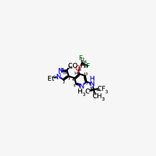 CCn1cc(-c2cnc(NC(C)(C)C(F)(F)F)cc2OC(F)F)c(C(=O)O)n1